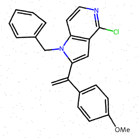 C=C(c1ccc(OC)cc1)c1cc2c(Cl)nccc2n1Cc1ccccc1